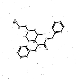 O=C(OCc1ccccc1)N(Cc1ccccc1)C1CCN(CCO)CC1F